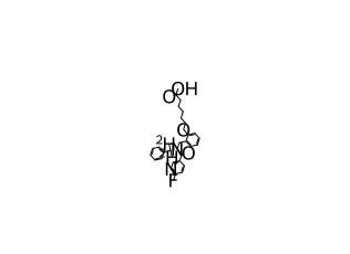 [2H]C([2H])(c1ccccc1)N(Cc1ccccc1OCCCCCC(=O)O)C(=O)c1ccc(F)nc1